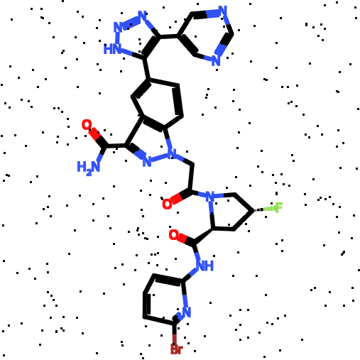 NC(=O)c1nn(CC(=O)N2C[C@H](F)C[C@H]2C(=O)Nc2cccc(Br)n2)c2ccc(-c3[nH]nnc3-c3cncnc3)cc12